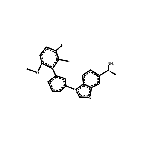 COc1ccc(F)c(F)c1-c1cccc(-n2cnc3cc([C@H](C)N)ccc32)c1